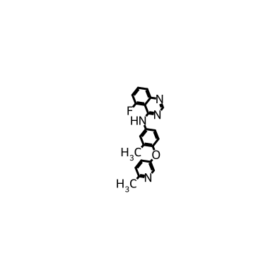 Cc1ccc(Oc2ccc(Nc3ncnc4cccc(F)c34)cc2C)cn1